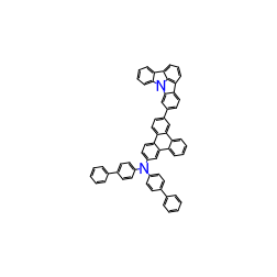 c1ccc(-c2ccc(N(c3ccc(-c4ccccc4)cc3)c3ccc4c5ccc(-c6ccc7c8cccc9c%10ccccc%10n(c7c6)c98)cc5c5ccccc5c4c3)cc2)cc1